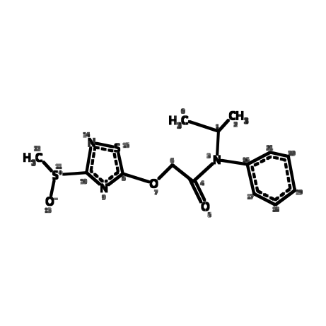 CC(C)N(C(=O)COc1nc([S+](C)[O-])ns1)c1ccccc1